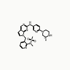 C[C@H]1CN(c2ccc(Nc3ncc4ccn(Cc5cccnc5N(C)S(C)(=O)=O)c4n3)cn2)CCN1